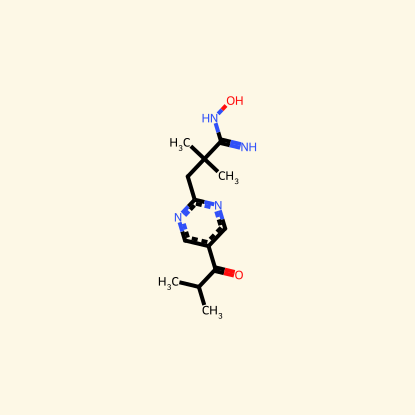 CC(C)C(=O)c1cnc(CC(C)(C)C(=N)NO)nc1